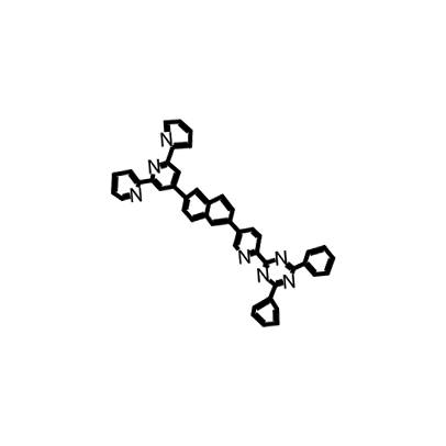 c1ccc(-c2nc(-c3ccccc3)nc(-c3ccc(-c4ccc5cc(-c6cc(-c7ccccn7)nc(-c7ccccn7)c6)ccc5c4)cn3)n2)cc1